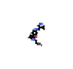 CCCNC(=O)C1(c2ccc(N/C=C(\C=N)C3CC3)cc2)CCC1